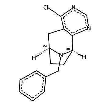 Clc1ncnc2c1C[C@@H]1CC[C@H]2N1Cc1ccccc1